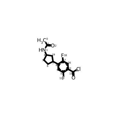 CC(=O)NC1CCC(c2cc(F)c(C(=O)Cl)cc2F)C1